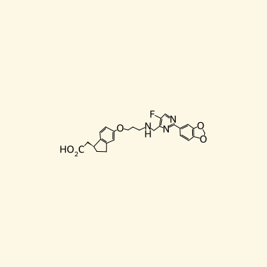 O=C(O)C[C@@H]1CCc2cc(OCCCNCc3nc(-c4ccc5c(c4)OCO5)ncc3F)ccc21